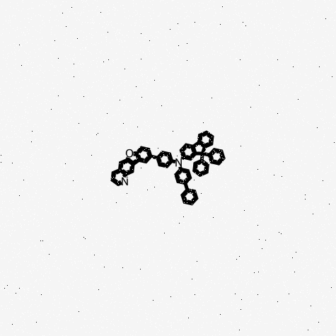 c1ccc(-c2ccc(N(c3ccc(-c4ccc5oc6cc7cccnc7cc6c5c4)cc3)c3ccc4c(c3)C(c3ccccc3)(c3ccccc3)c3ccccc3-4)cc2)cc1